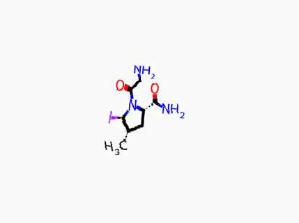 C[C@H]1C[C@@H](C(N)=O)N(C(=O)CN)[C@@H]1I